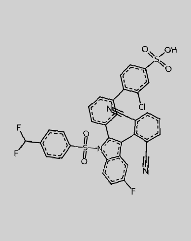 N#Cc1cccc(C#N)c1-c1c(-c2cccc(-c3ccc(S(=O)(=O)O)cc3Cl)c2)n(S(=O)(=O)c2ccc(C(F)F)cc2)c2ccc(F)cc12